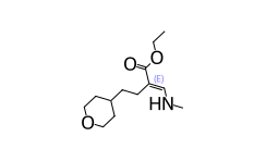 CCOC(=O)/C(=C/NC)CCC1CCOCC1